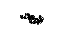 Cc1ncsc1-c1ccc(CNC(=O)C2(C)C[C@@H](O)CN2C(=O)[C@H](C(C)C)N2Cc3ccc(O[C@H]4CN(C(=O)[C@H](C(C)C)N5Cc6ccccc6C5=O)C(C)(C(=O)NCc5ccc(-c6scnc6C)cc5)C4)cc3C2=O)cc1